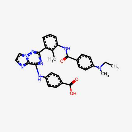 CCN(C)c1ccc(C(=O)Nc2cccc(-c3nc(Nc4ccc(C(=O)O)cc4)c4nccn4n3)c2C)cc1